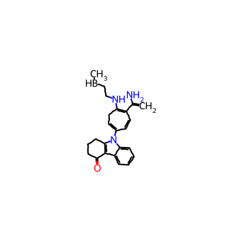 C=C(N)C1=C(NCCBC)CC=C(n2c3c(c4ccccc42)C(=O)CCC3)C=C1